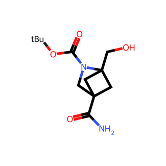 CC(C)(C)OC(=O)N1CC2(C(N)=O)CC1(CO)C2